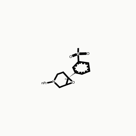 CCCN1CC[C@@]2(c3cccc(S(C)(=O)=O)c3)OC2C1